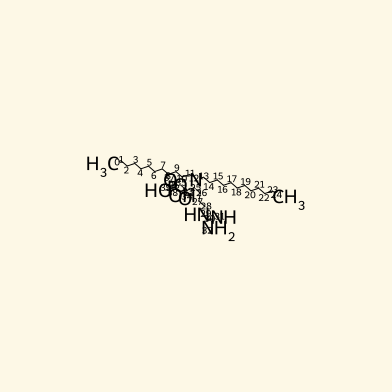 CCCCCCCCCCCCN(CCCCCCCCCCCC)[C@@H](CCCNC(=N)N)C(=O)OP(=O)(O)O